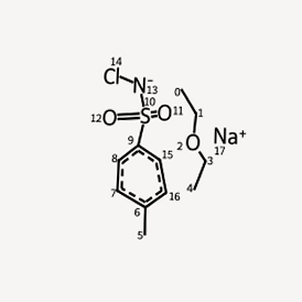 CCOCC.Cc1ccc(S(=O)(=O)[N-]Cl)cc1.[Na+]